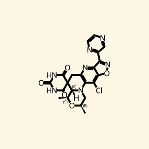 C[C@@H]1CN2c3c(nc4c(-c5cnccn5)noc4c3Cl)CC3(C(=O)NC(=O)NC3=O)[C@H]2[C@H](C)O1